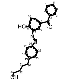 O=C(c1ccccc1)c1ccc(O)c(N=Nc2ccc(CCCCO)cc2)c1